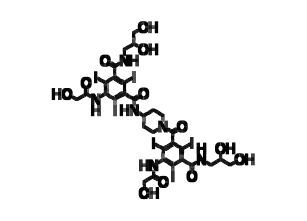 O=C(CO)Nc1c(I)c(C(=O)NCC(O)CO)c(I)c(C(=O)NC2CCN(C(=O)c3c(I)c(NC(=O)CO)c(I)c(C(=O)NCC(O)CO)c3I)CC2)c1I